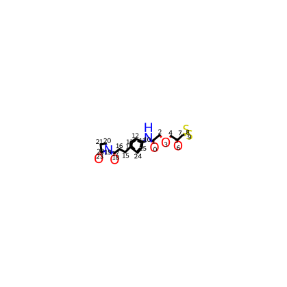 O=C(COCC(=O)C1SS1)Nc1ccc(CCC(=O)N2CCC2=O)cc1